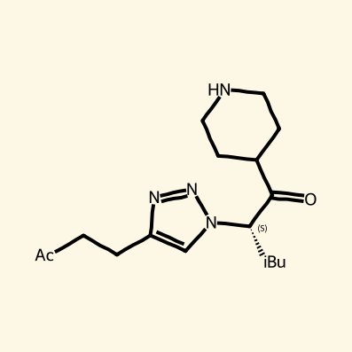 CCC(C)[C@@H](C(=O)C1CCNCC1)n1cc(CCC(C)=O)nn1